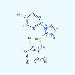 Fc1ccc(-n2ccnc2SCc2c(F)cccc2Cl)cc1